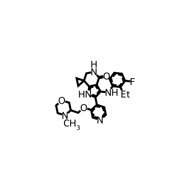 CCc1c(F)cccc1Nc1c(-c2ccncc2OCC2COCCN2C)[nH]c2c1C(=O)NCC21CC1